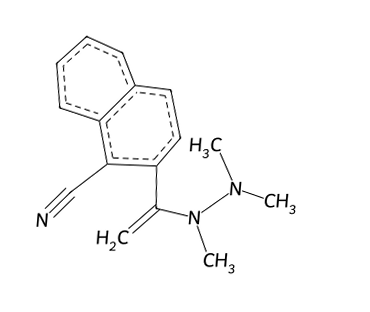 C=C(c1ccc2ccccc2c1C#N)N(C)N(C)C